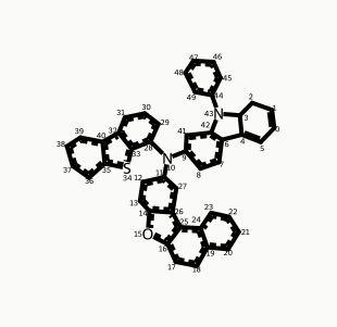 C1=CCC2C(=C1)c1ccc(N(c3ccc4oc5ccc6ccccc6c5c4c3)c3cccc4c3sc3ccccc34)cc1N2c1ccccc1